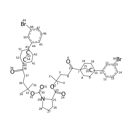 CC(C)(CCC(=O)C12CCC(c3cccc(Br)c3)(CC1)CC2)OC(=O)C1CCCN1C(=O)OC(C)(C)CCC(=O)C12CCC(c3cccc(Br)c3)(CC1)CC2